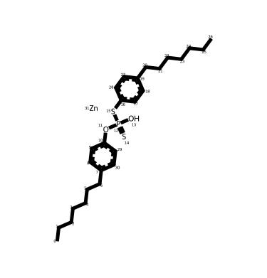 CCCCCCCc1ccc(OP(O)(=S)Sc2ccc(CCCCCCC)cc2)cc1.[Zn]